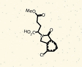 COC(=O)CCC(C(=O)O)N1Cc2c(Cl)cccc2C1=O